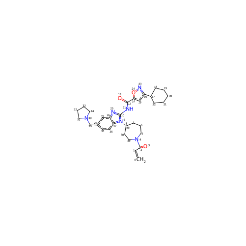 C=CC(=O)N1CCC[C@@H](n2c(NC(=O)c3cc(C4CCCCC4)no3)nc3cc(CN4CCCC4)ccc32)CC1